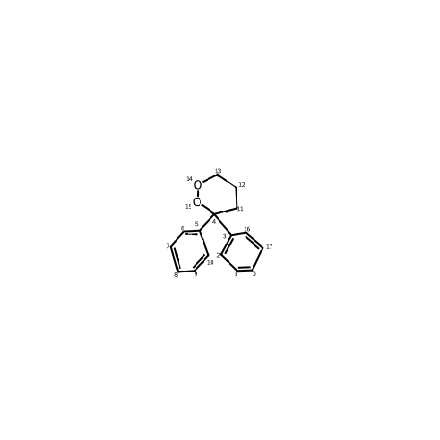 c1ccc(C2(c3ccccc3)CCCOO2)cc1